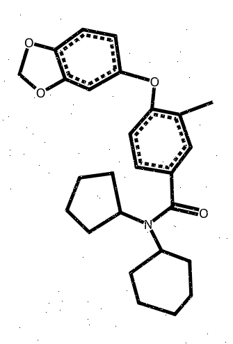 Cc1cc(C(=O)N(C2CCCCC2)C2CCCC2)ccc1Oc1ccc2c(c1)OCO2